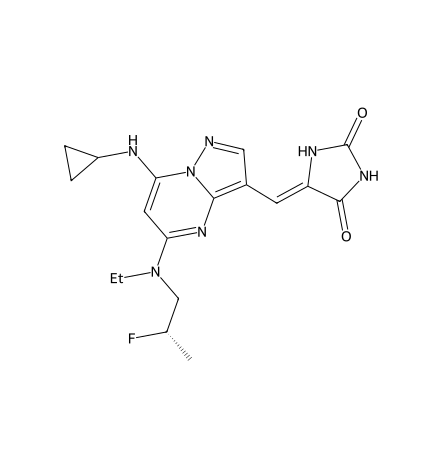 CCN(C[C@H](C)F)c1cc(NC2CC2)n2ncc(/C=C3\NC(=O)NC3=O)c2n1